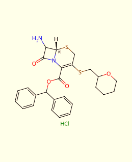 Cl.NC1C(=O)N2C(C(=O)OC(c3ccccc3)c3ccccc3)=C(SCC3CCCCO3)CS[C@@H]12